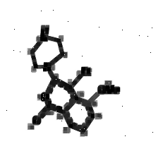 CCc1c(N2CCNCC2)oc(=O)c2cccc(OC)c12